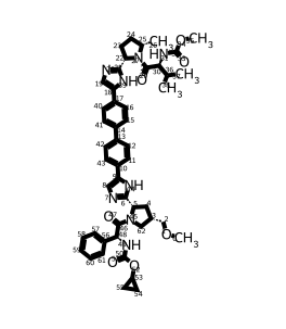 COC[C@H]1C[C@@H](c2ncc(-c3ccc(-c4ccc(-c5cnc([C@@H]6CC[C@H](C)N6C(=O)[C@@H](NC(=O)OC)C(C)C)[nH]5)cc4)cc3)[nH]2)N(C(=O)[C@H](NC(=O)OC2CC2)c2ccccc2)C1